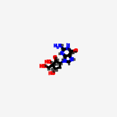 Nc1nc2c(ncn2[C@H]2C[C@H](O)[C@@](O)(CO)C2=O)c(=O)[nH]1